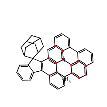 CC1CC2=C(C=C1N(c1ccccc1-c1ccccc1)c1ccccc1-c1ccccc1-c1ccccc1-c1ccccc1)C1(c3ccccc32)C2CC3CC(C2)CC1C3